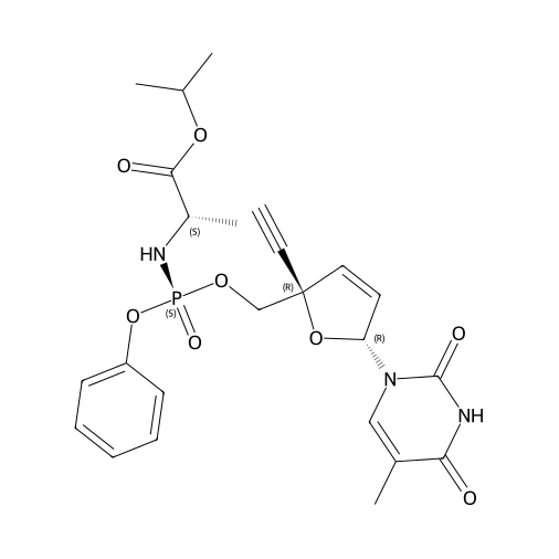 C#C[C@@]1(CO[P@@](=O)(N[C@@H](C)C(=O)OC(C)C)Oc2ccccc2)C=C[C@H](n2cc(C)c(=O)[nH]c2=O)O1